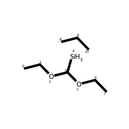 CCOC([SiH3])OCC.[CH2]CC